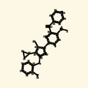 COc1cnc(-c2nn(Cc3ccccc3F)c(C3CC3)c2C)nc1Nc1ccncc1